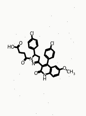 COc1ccc2[nH]c(=O)c(C3=NN(C(=O)CCC(=O)O)C(c4ccc(Cl)cc4)C3)c(-c3ccc(Cl)cc3)c2c1